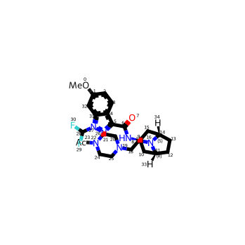 COc1ccc2c(C(=O)N[C@@H]3C[C@H]4CC[C@@H](C3)N4CCN3CCN(C(C)=O)CC3)nn(C(F)F)c2c1